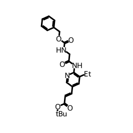 CCc1cc(/C=C/C(=O)OC(C)(C)C)cnc1NC(=O)CNC(=O)OCc1ccccc1